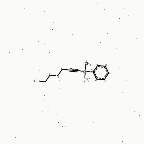 CCCCCC#C[Si](C)(C)c1ccccc1